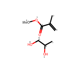 C=C(C)C(=O)OOC.CC(O)CO